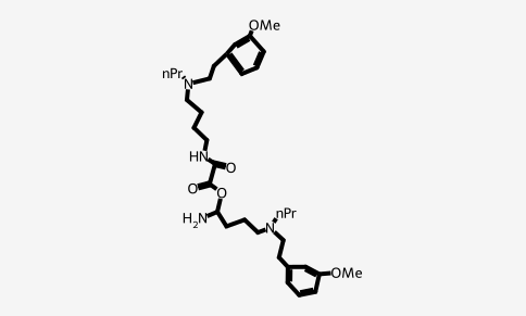 CCCN(CCCCNC(=O)C(=O)OC(N)CCCN(CCC)CCc1cccc(OC)c1)CCc1cccc(OC)c1